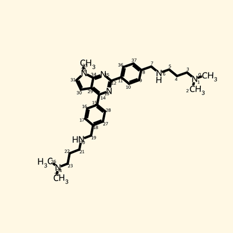 CN(C)CCCNCc1ccc(-c2nc(-c3ccc(CNCCCN(C)C)cc3)c3ccn(C)c3n2)cc1